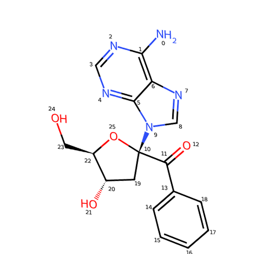 Nc1ncnc2c1ncn2[C@@]1(C(=O)c2ccccc2)C[C@H](O)[C@@H](CO)O1